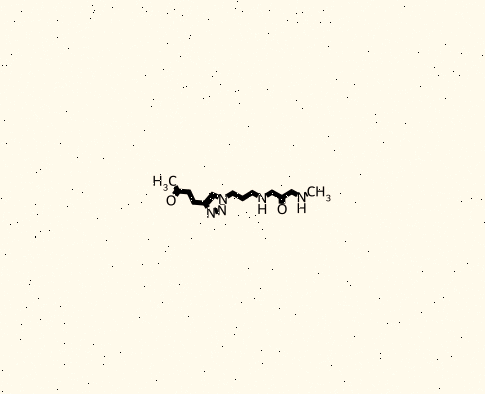 CNCC(=O)CNCCCn1cc(CCC(C)=O)nn1